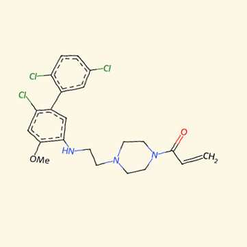 C=CC(=O)N1CCN(CCNc2cc(-c3cc(Cl)ccc3Cl)c(Cl)cc2OC)CC1